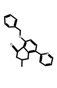 CC1CC(=O)c2c(OCc3ccccc3)ccc(-c3ccccn3)c2C1